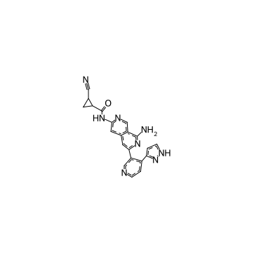 N#CC1CC1C(=O)Nc1cc2cc(-c3cnccc3-c3cc[nH]n3)nc(N)c2cn1